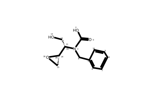 O=C(O)N(Cc1ccccc1)[C@@H](CO)[C@@H]1CO1